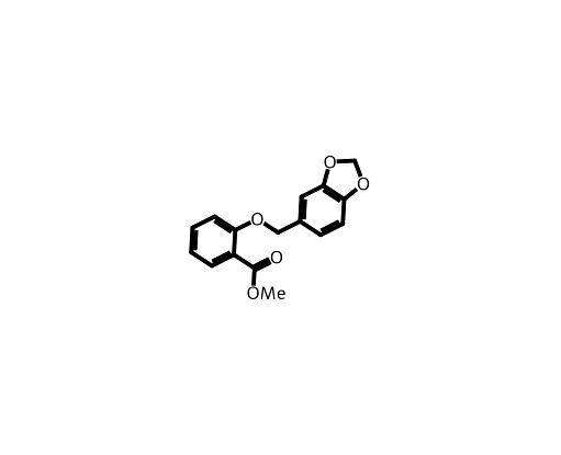 COC(=O)c1ccccc1OCc1ccc2c(c1)OCO2